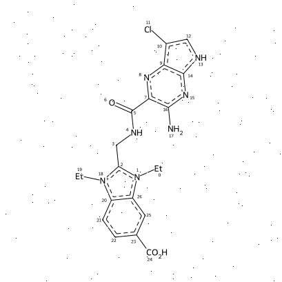 CCn1c(CNC(=O)c2nc3c(Cl)c[nH]c3nc2N)[n+](CC)c2ccc(C(=O)O)cc21